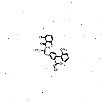 COc1ccccc1-c1ccc(C[C@H](NC(=O)c2c(Cl)cccc2Cl)C(=O)O)cc1/C(C)=N/O